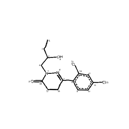 CCC(O)CN1N=C(c2ccc(Cl)cc2Cl)CCC1=O